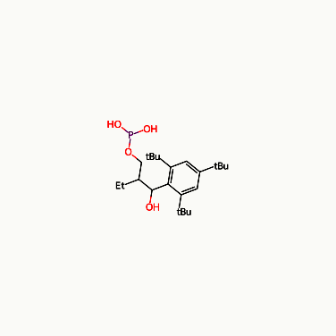 CCC(COP(O)O)C(O)c1c(C(C)(C)C)cc(C(C)(C)C)cc1C(C)(C)C